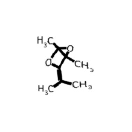 CC(C)=C1OC2(C)OC12C